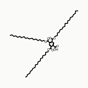 CCCCCCCCCCCCCCCCCCOC(=O)c1cc(C(=O)OCCCCCCCCCCCCCCCCCC)c(C(=O)OCCCCCCCCCCCCCCCCCC)cc1C(=O)O